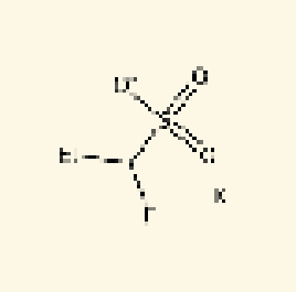 CCC(F)S(=O)(=O)[O-].[K+]